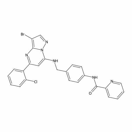 O=C(Nc1ccc(CNc2cc(-c3ccccc3Cl)nc3c(Br)cnn23)cc1)c1ccccn1